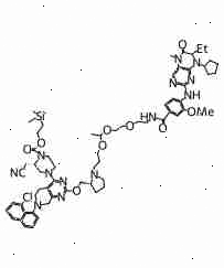 CC[C@@H]1C(=O)N(C)c2cnc(Nc3ccc(C(=O)NCCOCCOC(C)OCCCN4CCC[C@H]4COc4nc5c(c(N6CCN(C(=O)OCC[Si](C)(C)C)[C@@H](CC#N)C6)n4)CCN(c4cccc6cccc(Cl)c46)C5)cc3OC)nc2N1C1CCCC1